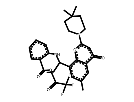 CCC(Nc1ccccc1C(=O)OC(=O)C(F)(F)F)c1cc(C)cc2c(=O)cc(N3CCC(C)(C)CC3)oc12